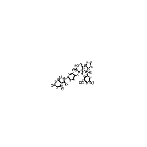 O=C(Nc1ccc(C[C@H](NC(=O)[C@H]2CCCN2S(=O)(=O)c2cc(Cl)cc(Cl)c2)C(=O)O)cc1)c1c(Cl)c[n+]([O-])cc1Cl